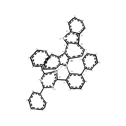 c1ccc(-c2nc(-c3ccccc3)nc(-c3cccc(-c4ccccc4)c3-n3c4ccccc4c4c5sc6ccccc6c5ccc43)n2)cc1